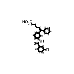 O=C(O)CCCC=C(c1cccnc1)c1cccc(NC(=O)c2cccc(Cl)c2)c1